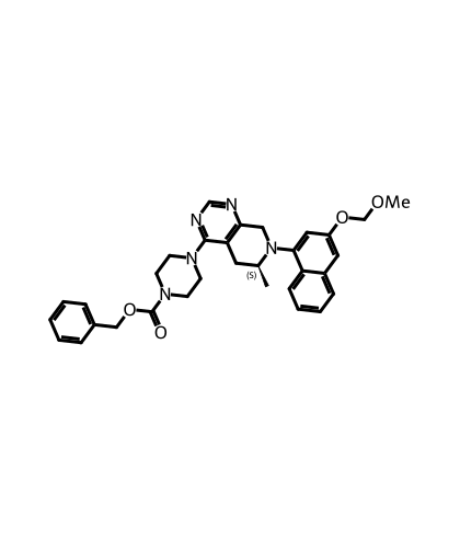 COCOc1cc(N2Cc3ncnc(N4CCN(C(=O)OCc5ccccc5)CC4)c3C[C@@H]2C)c2ccccc2c1